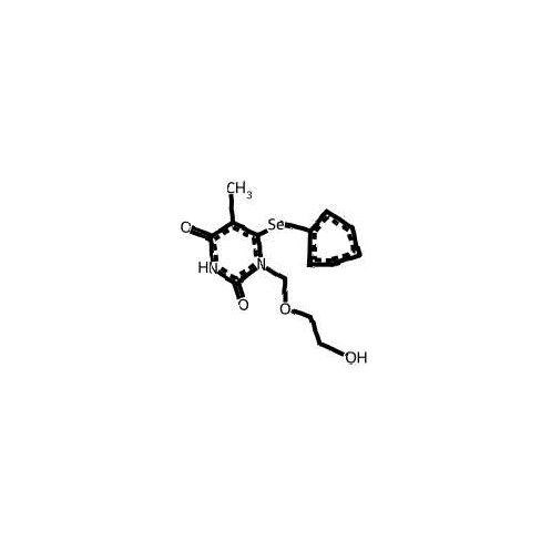 Cc1c([Se]c2ccccc2)n(COCCO)c(=O)[nH]c1=O